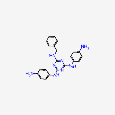 Nc1ccc(Nc2nc(NCc3ccccc3)nc(Nc3ccc(N)cc3)n2)cc1